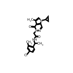 Cc1cc(Cl)ccc1C(C)NC(=O)Cn1ncc2c(c(C)cn2C2CC2)c1=O